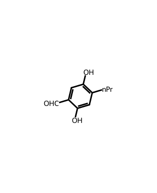 CCCc1cc(O)c(C=O)cc1O